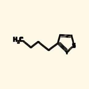 CCCCc1[c]scc1